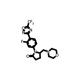 O=C1CCC(CN2CCOCC2)N1c1ccc(-c2noc(C(F)(F)F)n2)c(F)c1